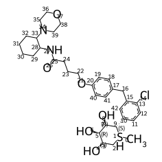 C[SH]1C[C@@H](O)[C@@H](O)[C@@H](O)[C@@H]1c1ccc(Cl)c(Cc2ccc(OCCCC(=O)NC3CCCCC3N3CCOCC3)cc2)c1